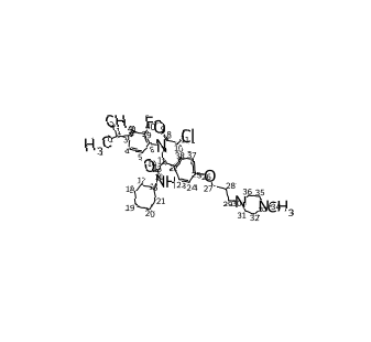 CC(C)c1ccc(N(C(=O)CCl)C(C(=O)NC2CCCCC2)c2ccc(OCCCN3CCN(C)CC3)cc2)c(F)c1